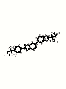 CCC(C)(C)c1ccc(-c2nc3ccc(-c4ccc5nc(C(C)(C)CC)[nH]c5c4)cc3[nH]2)cc1